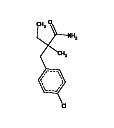 CCC(C)(Cc1ccc(Cl)cc1)C(N)=O